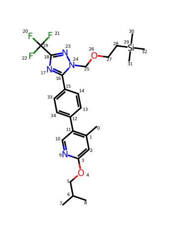 Cc1cc(OCC(C)C)ncc1-c1ccc(-c2nc(C(F)(F)F)nn2COCC[Si](C)(C)C)cc1